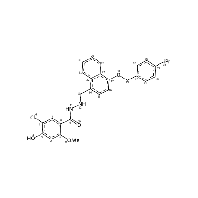 COc1cc(O)c(Cl)cc1C(=O)NNCc1ccc(OCc2ccc(C(C)C)cc2)c2ccccc12